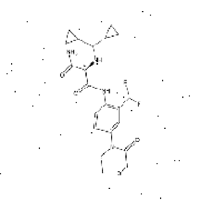 NC(=O)[C@@H](NC(C1CC1)C1CC1)C(=O)Nc1ccc(N2CCOCC2=O)cc1C(F)F